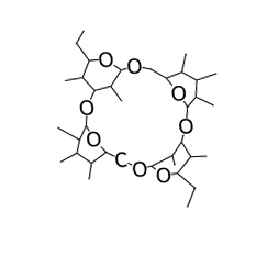 CCC1OC2OCC3OC(OC4C(C)C(CC)OC(OCC5OC(OC(C1C)C2C)C(C)C(C)C5C)C4C)C(C)C(C)C3C